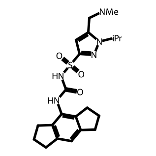 CNCc1cc(S(=O)(=O)NC(=O)Nc2c3c(cc4c2CCC4)CCC3)nn1C(C)C